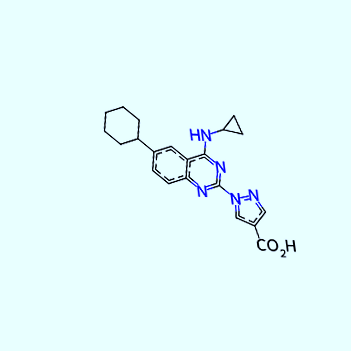 O=C(O)c1cnn(-c2nc(NC3CC3)c3cc(C4CCCCC4)ccc3n2)c1